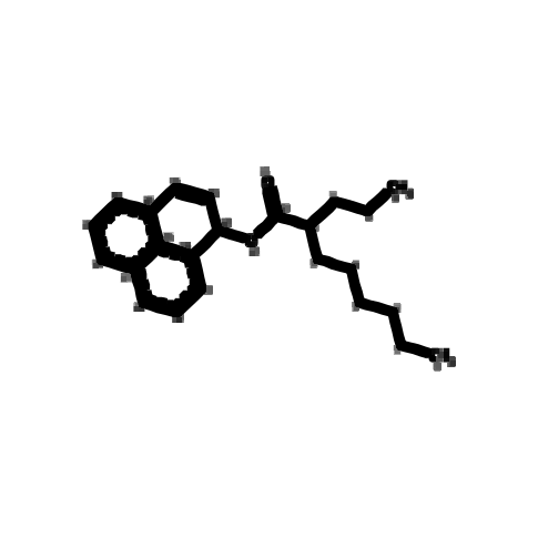 CCCCCCC(CCC)C(=O)OC1C=Cc2cccc3cccc1c23